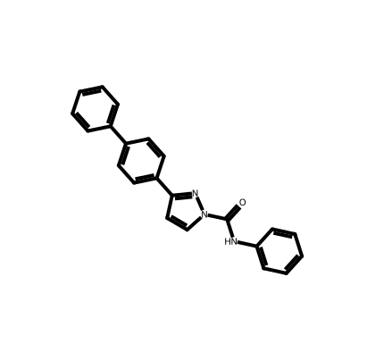 O=C(Nc1ccccc1)n1ccc(-c2ccc(-c3ccccc3)cc2)n1